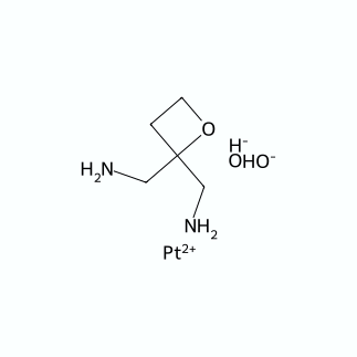 NCC1(CN)CCO1.[OH-].[OH-].[Pt+2]